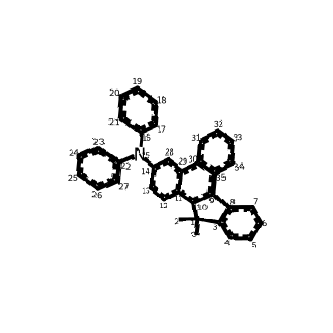 CC1(C)c2ccccc2-c2c1c1ccc(N(c3ccccc3)c3ccccc3)cc1c1ccccc21